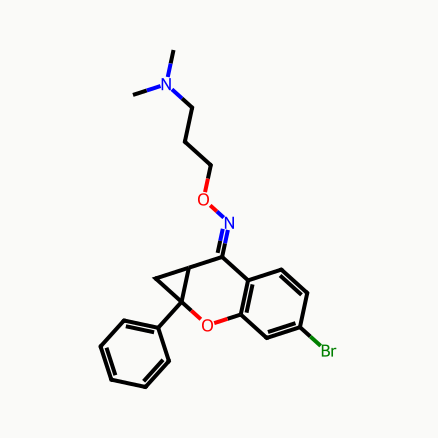 CN(C)CCCON=C1c2ccc(Br)cc2OC2(c3ccccc3)CC12